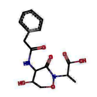 CC(C(=O)O)N1OCC(O)C(NC(=O)Cc2ccccc2)C1=O